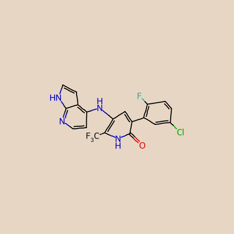 O=c1[nH]c(C(F)(F)F)c(Nc2ccnc3[nH]ccc23)cc1-c1cc(Cl)ccc1F